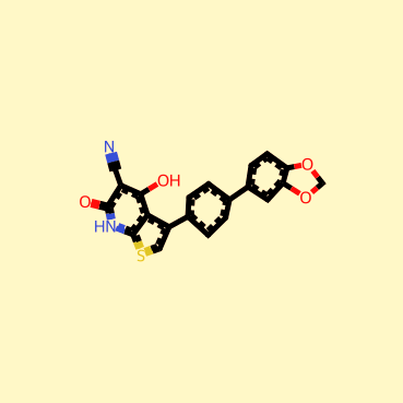 N#Cc1c(O)c2c(-c3ccc(-c4ccc5c(c4)OCO5)cc3)csc2[nH]c1=O